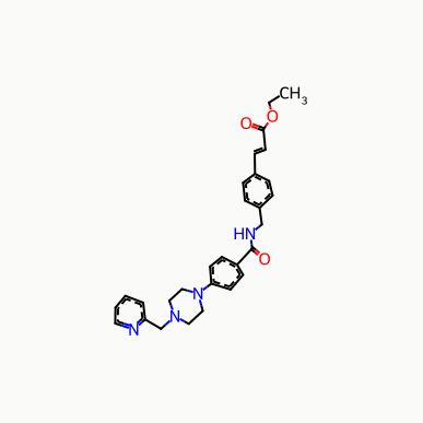 CCOC(=O)C=Cc1ccc(CNC(=O)c2ccc(N3CCN(Cc4ccccn4)CC3)cc2)cc1